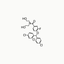 O=C(c1ccc(OC(c2ccc(Cl)cc2)c2ccc(Cl)cc2Cl)c(F)c1)N(CCO)CCO